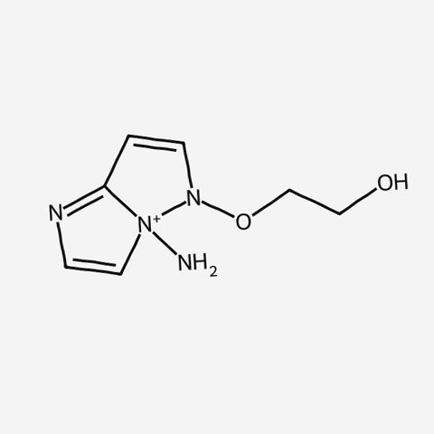 N[N+]12C=CN=C1C=CN2OCCO